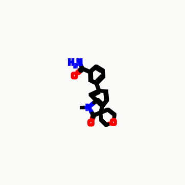 CN1C(=O)C2(CCOCC2)c2ccc(-c3cccc(C(N)=O)c3)cc21